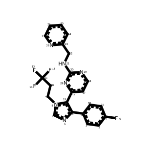 Fc1ccc(-c2ncn(CCC(F)(F)F)c2-c2ccnc(NCc3ccccn3)n2)cc1